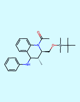 CC(=O)N1c2ccccc2C(Nc2ccccc2)[C@@H](C)[C@@H]1CO[Si](C)(C)C(C)(C)C